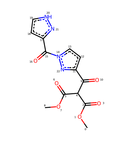 COC(=O)C(C(=O)OC)C(=O)c1ccn(C(=O)c2cc[nH]n2)n1